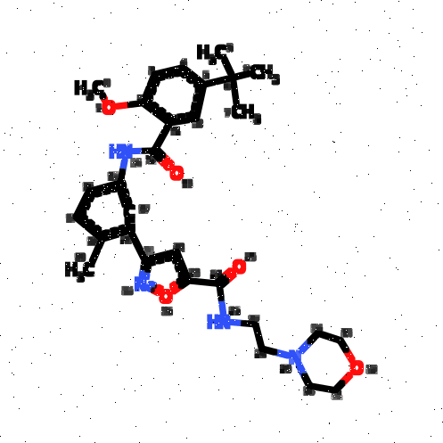 COc1ccc(C(C)(C)C)cc1C(=O)Nc1ccc(C)c(-c2cc(C(=O)NCCN3CCOCC3)on2)c1